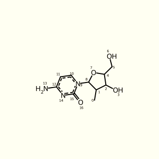 CC1C(O)C(CO)OC1n1ccc(N)nc1=O